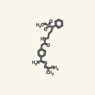 C=CS(=O)(=O)N(CCCNC(=O)Cc1ccc(/C(N)=N/N=C(/C)N)cc1)c1ccccc1